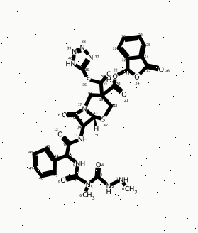 CNNC(=O)N(C)C(=O)NC(C(=O)NC1C(=O)N2CC(C(=O)OC3OC(=O)c4ccccc43)(C(C)Sc3nnn[nH]3)CS[C@H]12)c1ccccc1